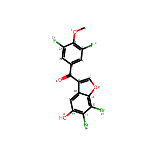 COc1c(F)cc(C(=O)c2coc3c(Br)c(Br)c(O)cc23)cc1F